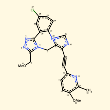 COCc1nnc2n1Cc1c(C#Cc3ccc(OC)c(C)n3)ncn1-c1ccc(Cl)cc1-2